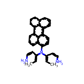 C/C=C(\C=C/N)N(C(/C=C\N)=C/C)c1ccc2c3cccc4cccc(c5cccc1c52)c43